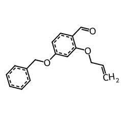 C=CCOc1cc(OCc2ccccc2)ccc1C=O